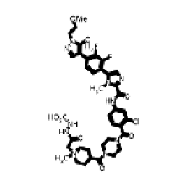 COCCn1ncc(-c2ccc(-c3cnc(C(=O)Nc4ccc(C(=O)N5CCN(C(=O)C6CC[N+](C)(CC(=O)NNC(=O)O)CC6)CC5)c(Cl)c4)n3C)c(F)c2F)c1C